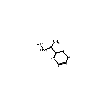 CC(NS)C1CCC=CO1